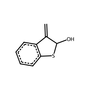 C=C1c2ccccc2SC1O